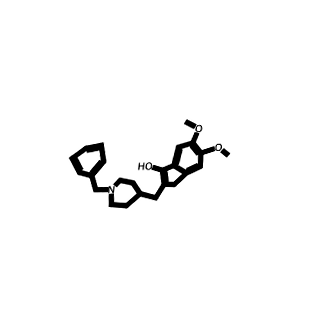 COc1cc2c(cc1OC)C(O)=C(CC1CCN(Cc3ccccc3)CC1)C2